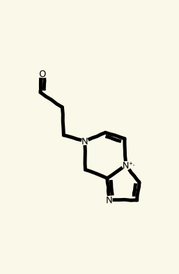 O=CCCN1C=C[N+]2C=CN=C2C1